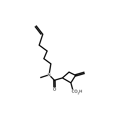 C=CCCCCN(C)C(=O)C1CC(=C)C1C(=O)O